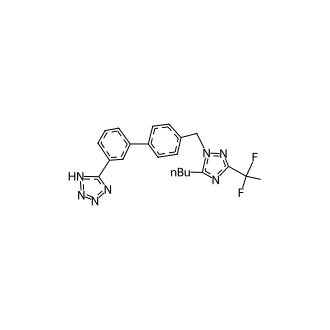 CCCCc1nc(C(C)(F)F)nn1Cc1ccc(-c2cccc(-c3nnn[nH]3)c2)cc1